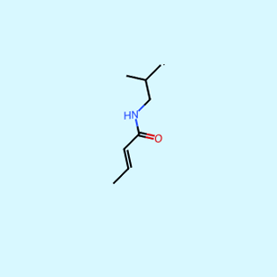 [CH2]C(C)CNC(=O)C=CC